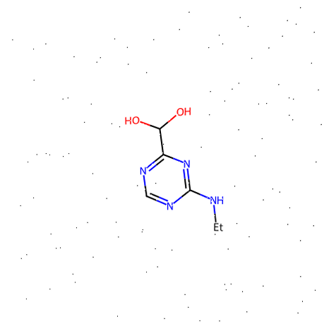 CCNc1ncnc(C(O)O)n1